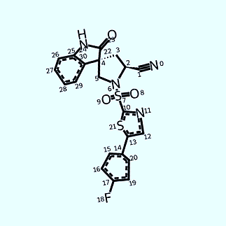 N#C[C@@H]1C[C@@]2(CN1S(=O)(=O)c1ncc(-c3ccc(F)cc3)s1)C(=O)Nc1ccccc12